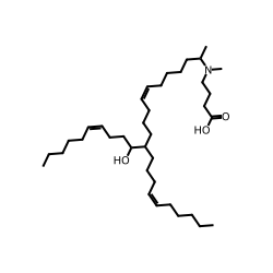 CCCCC/C=C\CCCC(CCC/C=C\CCCCC(C)N(C)CCCC(=O)O)C(O)CC/C=C\CCCCC